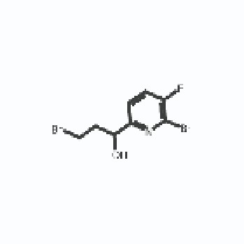 OC(CCBr)c1ccc(F)c(Br)n1